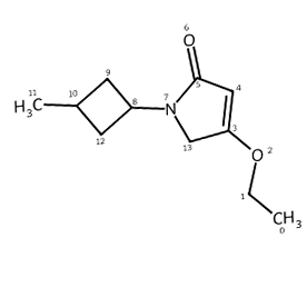 CCOC1=CC(=O)N(C2CC(C)C2)C1